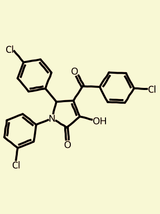 O=C(C1=C(O)C(=O)N(c2cccc(Cl)c2)C1c1ccc(Cl)cc1)c1ccc(Cl)cc1